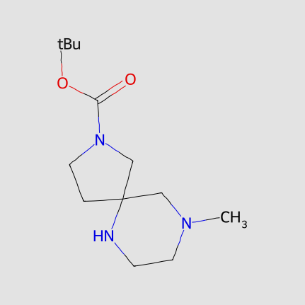 CN1CCNC2(CCN(C(=O)OC(C)(C)C)C2)C1